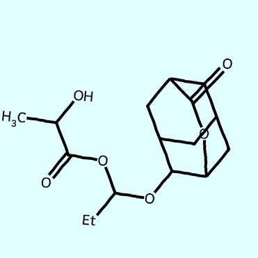 CCC(OC(=O)C(C)O)OC1C2CC3CC(C2)C(=O)OC1C3